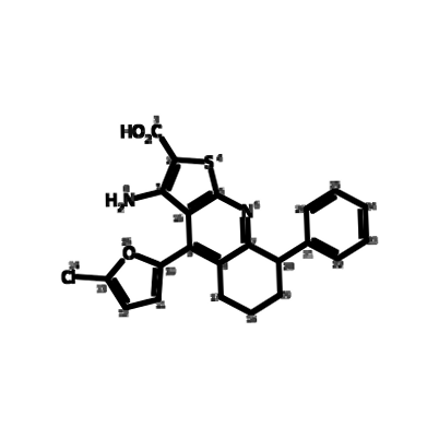 Nc1c(C(=O)O)sc2nc3c(c(-c4ccc(Cl)o4)c12)CCCC3c1ccccc1